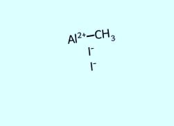 [CH3][Al+2].[I-].[I-]